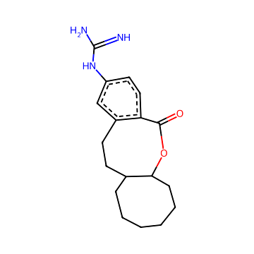 N=C(N)Nc1ccc2c(c1)CCC1CCCCCCC1OC2=O